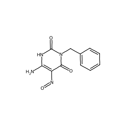 Nc1[nH]c(=O)n(Cc2ccccc2)c(=O)c1N=O